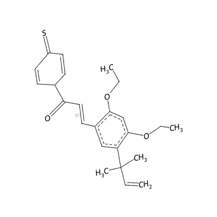 C=CC(C)(C)c1cc(/C=C/C(=O)C2C=CC(=S)C=C2)c(OCC)cc1OCC